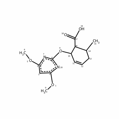 COc1cc(OC)nc(OC2C=CCC(C)C2C(=O)O)n1